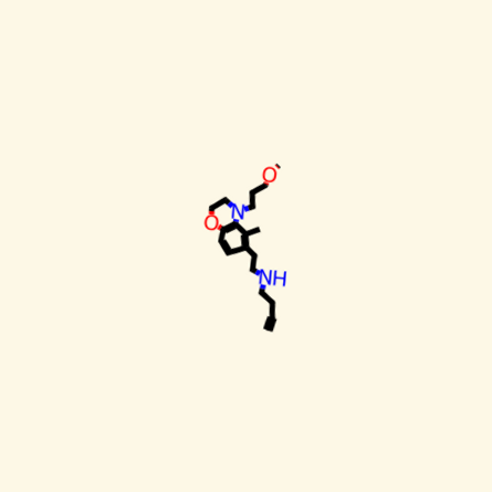 C#CCCNCCc1ccc2c(c1C)N(CCCOC)CCO2